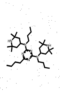 CCCCc1nc(N(CCCC)C2CC(C)(C)NC(C)(C)C2)nc(N(CCCC)C2CC(C)(C)NC(C)(C)C2)n1